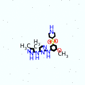 COc1cc(Nc2nccc(Nc3[nH]nc(C)c3C)n2)cc(S(=O)(=O)C2CCNCC2)c1